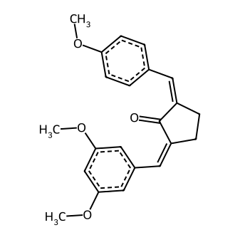 COc1ccc(C=C2CCC(=Cc3cc(OC)cc(OC)c3)C2=O)cc1